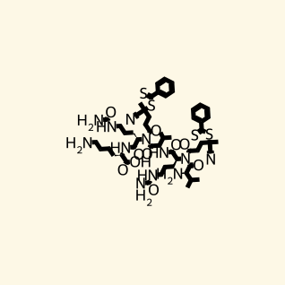 CC(C)[C@H](N)C(=O)N(C(=O)CCC(C)(C#N)SC(=S)c1ccccc1)[C@@H](CCCNC(N)=O)C(=O)N[C@H](C(=O)N(C(=O)CCC(C)(C#N)SC(=S)c1ccccc1)[C@@H](CCCNC(N)=O)C(=O)N[C@@H](CCCCN)C(=O)O)C(C)C